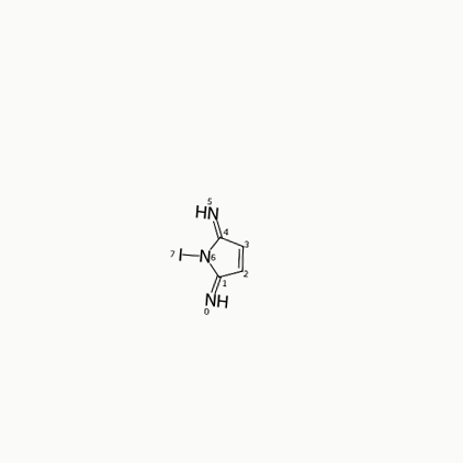 N=C1C=CC(=N)N1I